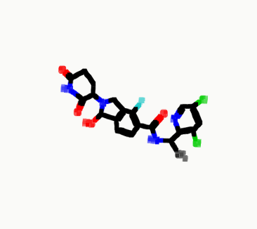 O=C1CCC(N2Cc3c(ccc(C(=O)NC(c4ncc(Cl)cc4Cl)C(F)(F)F)c3F)C2O)C(=O)N1